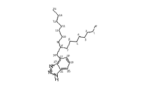 CCCCCCCCC(CCCCCCC)Cc1cccc2[nH]nnc12